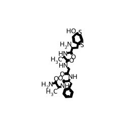 C[C@@H](NC(=O)[C@H](Cc1ccccc1)NC(=O)CNC(=O)[C@@H](C)NC(=O)[C@@H](N)CC12C=CC3(O)SC3=C1S2)C(N)=O